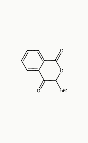 CCCC1OC(=O)c2ccccc2C1=O